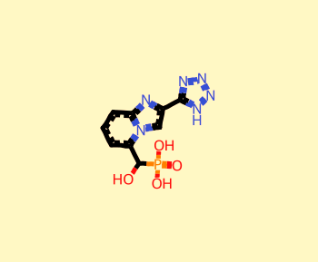 O=P(O)(O)C(O)c1cccc2nc(-c3nnn[nH]3)cn12